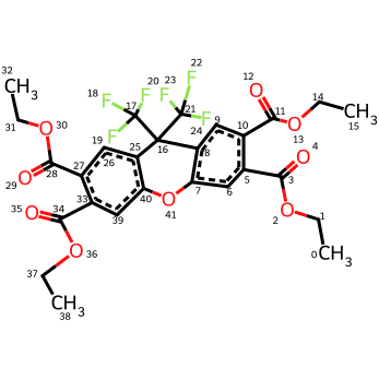 CCOC(=O)c1cc2c(cc1C(=O)OCC)C(C(F)(F)F)(C(F)(F)F)c1cc(C(=O)OCC)c(C(=O)OCC)cc1O2